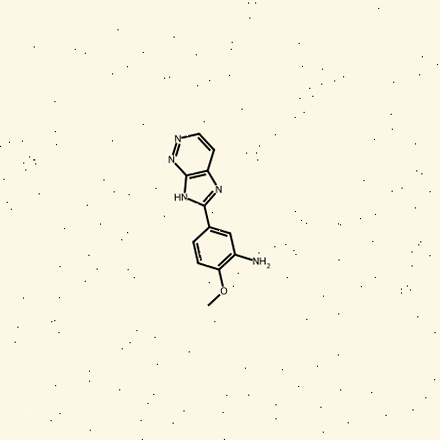 COc1ccc(-c2nc3ccnnc3[nH]2)cc1N